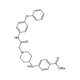 COC(=O)c1ccc([AsH]C2CCN(CC(=O)Nc3ccc(Oc4ccccc4)cc3)CC2)cc1